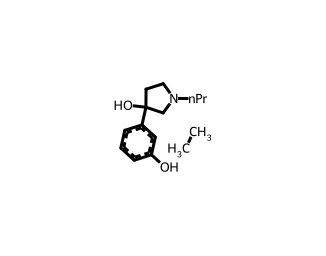 CC.CCCN1CCC(O)(c2cccc(O)c2)C1